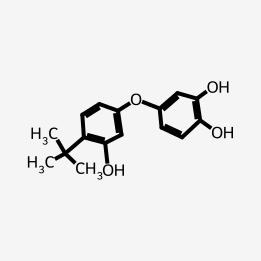 CC(C)(C)c1ccc(Oc2ccc(O)c(O)c2)cc1O